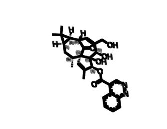 CC1=C[C@]23C(=O)[C@@H](C=C(CO)[C@@H](O)[C@]2(O)[C@H]1OC(=O)c1cnnc2ccccc12)[C@H]1[C@@H](C[C@H]3C)C1(C)C